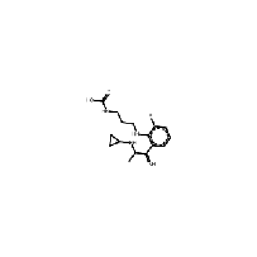 CC(NC1CC1)C(=N)c1cccc(F)c1NCCCNC(=O)O